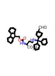 O=Cc1ccc(C(NCCC(NC(=O)OCC2c3ccccc3-c3ccccc32)C(=O)O)(c2ccccc2)c2ccccc2)cc1